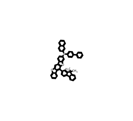 CC1(C)c2ccccc2-c2ccc(-c3c4oc5cc(N(c6ccc(-c7ccccc7)cc6)c6ccc7ccccc7c6)ccc5c4cc4oc5ccccc5c34)cc21